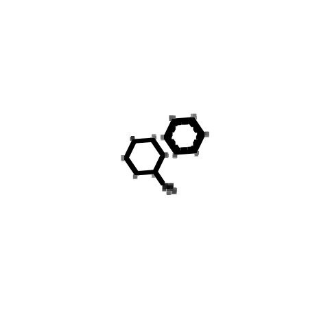 PC1CCCCC1.c1ccccc1